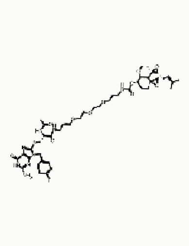 CO[C@H]1C([C@@]2(C)O[C@@H]2CC=C(C)C)[C@]2(CC[C@H]1OC(=O)NCCCOCCOCCOCCCNC(=O)[C@H](CSc1nc3c(=O)[nH]c(N)nc3n1Cc1ccc(F)cc1)NC(C)=O)CO2